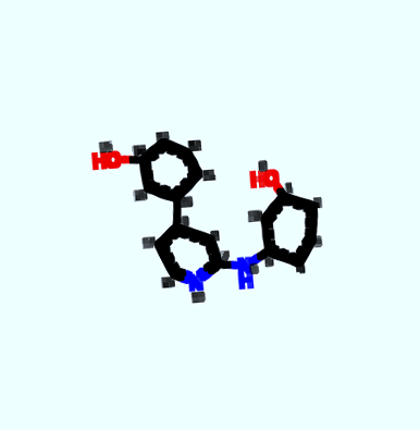 Oc1cccc(Nc2cc(-c3cccc(O)c3)ccn2)c1